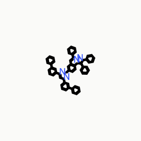 c1ccc(-c2cccc(-c3cc(-c4cccc(-c5ccccc5)c4)nc(-c4ccc5c(c4)cc(-c4ccccc4)n4nc(-c6ccccc6)c(-c6ccccc6)c54)n3)c2)cc1